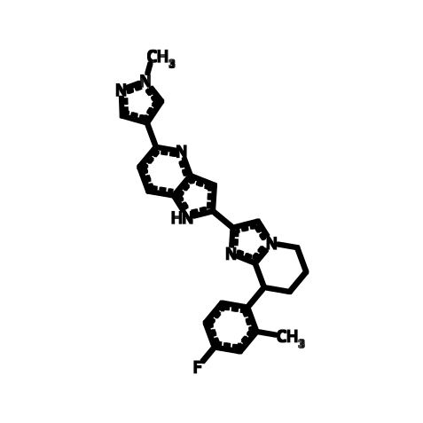 Cc1cc(F)ccc1C1CCCn2cc(-c3cc4nc(-c5cnn(C)c5)ccc4[nH]3)nc21